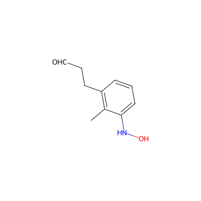 Cc1c(CCC=O)cccc1NO